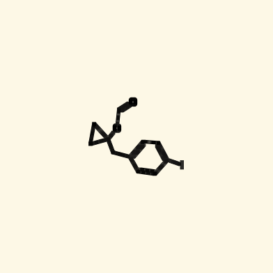 O=COC1(Cc2ccc(I)cc2)CC1